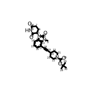 Cn1c(=O)n(C2CCC(=O)NC2=O)c2cccc(C#CC3CCN(C(=O)OC(C)(C)C)CC3)c21